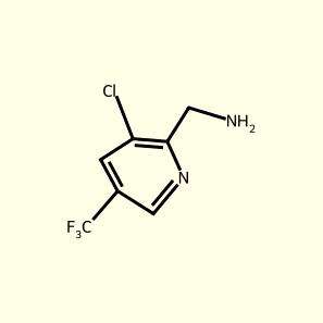 NCc1ncc(C(F)(F)F)cc1Cl